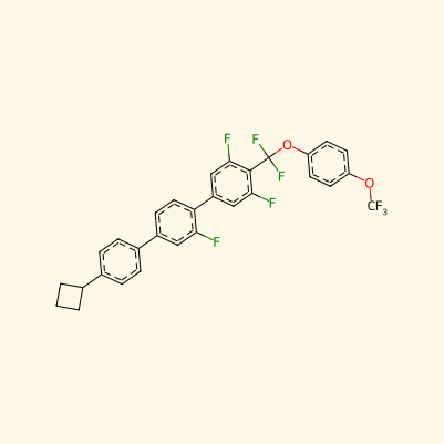 Fc1cc(-c2ccc(C3CCC3)cc2)ccc1-c1cc(F)c(C(F)(F)Oc2ccc(OC(F)(F)F)cc2)c(F)c1